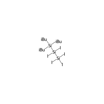 CCC(C)[Si](C(C)CC)(C(C)CC)[Si](I)(I)[Si](I)(I)I